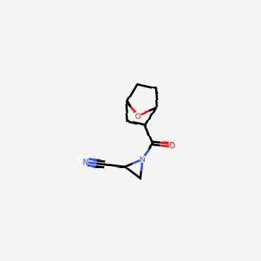 N#CC1CN1C(=O)C1CC2CCC1O2